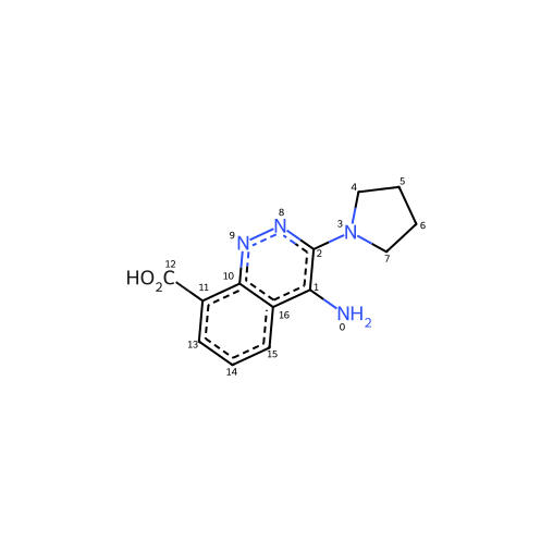 Nc1c(N2CCCC2)nnc2c(C(=O)O)cccc12